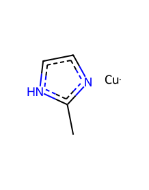 Cc1ncc[nH]1.[Cu]